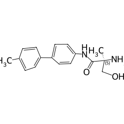 Cc1ccc(-c2ccc(NC(=O)[C@@](C)(N)CO)cc2)cc1